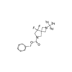 [2H]C([2H])([2H])N1CC2(CN(C(=O)OCc3ccccc3)CC2(F)F)C1